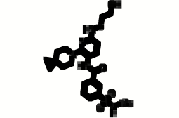 CC(C)(C)NS(=O)(=O)c1cccc(C(=O)Nc2ccc(NSCCO)nc2N2CCC3(CC2)CC3)c1